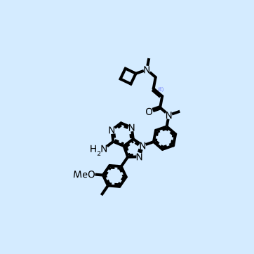 COc1cc(-c2nn(-c3cccc(N(C)C(=O)/C=C/CN(C)C4CCC4)c3)c3ncnc(N)c23)ccc1C